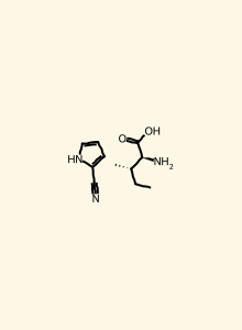 CC[C@H](C)[C@H](N)C(=O)O.N#Cc1ccc[nH]1